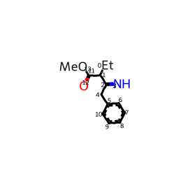 CCC(C(=N)Cc1ccccc1)C(=O)OC